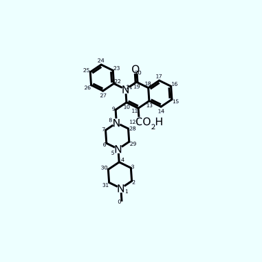 CN1CCC(N2CCN(Cc3c(C(=O)O)c4ccccc4c(=O)n3-c3ccccc3)CC2)CC1